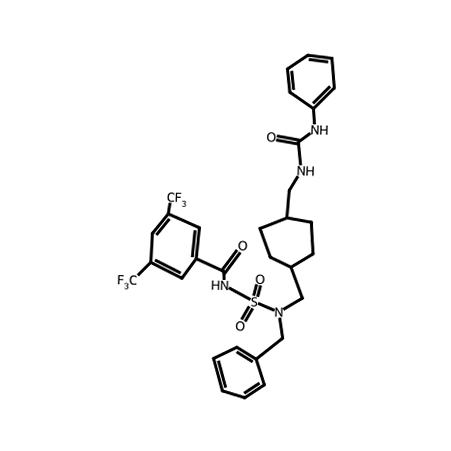 O=C(NCC1CCC(CN(Cc2ccccc2)S(=O)(=O)NC(=O)c2cc(C(F)(F)F)cc(C(F)(F)F)c2)CC1)Nc1ccccc1